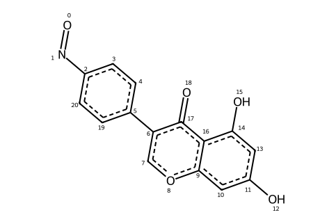 O=Nc1ccc(-c2coc3cc(O)cc(O)c3c2=O)cc1